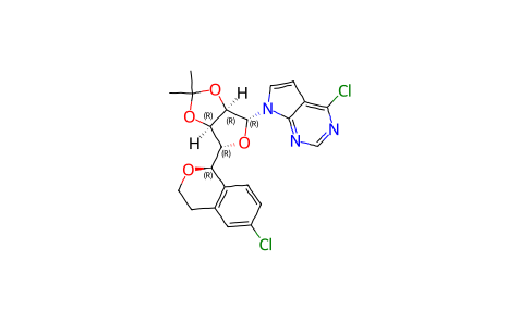 CC1(C)O[C@H]2[C@@H](O1)[C@H](n1ccc3c(Cl)ncnc31)O[C@@H]2[C@@H]1OCCc2cc(Cl)ccc21